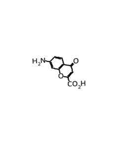 Nc1ccc2c(=O)cc(C(=O)O)oc2c1